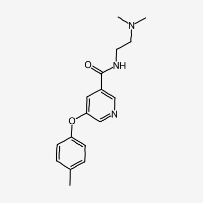 Cc1ccc(Oc2cncc(C(=O)NCCN(C)C)c2)cc1